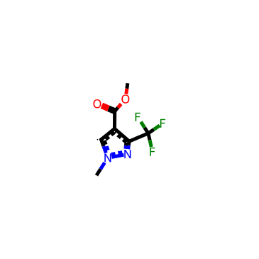 COC(=O)c1[c]n(C)nc1C(F)(F)F